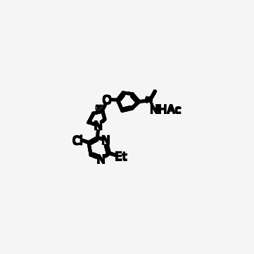 CCc1ncc(Cl)c(N2CC[C@@H](Oc3ccc([C@H](C)NC(C)=O)cc3)C2)n1